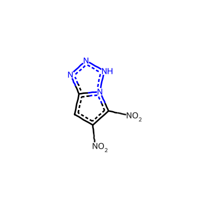 O=[N+]([O-])c1cc2nn[nH]n2c1[N+](=O)[O-]